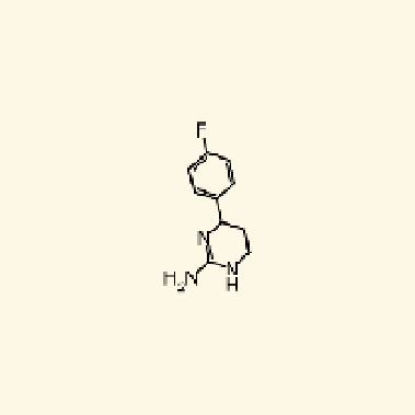 NC1=NC(c2ccc(F)cc2)CCN1